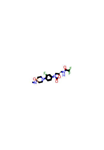 CN=S1(=O)CCN(c2ccc(N3C[C@H](CNC(=O)C(F)F)OC3=O)cc2F)CC1